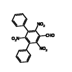 O=Cc1c([N+](=O)[O-])c(-c2ccccc2)c([N+](=O)[O-])c(-c2ccccc2)c1[N+](=O)[O-]